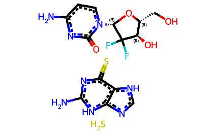 Nc1ccn([C@@H]2O[C@H](CO)[C@@H](O)C2(F)F)c(=O)n1.Nc1nc(=S)c2[nH]cnc2[nH]1.S